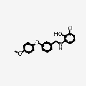 COc1ccc(Oc2cccc(CNc3cccc(Cl)c3O)c2)cc1